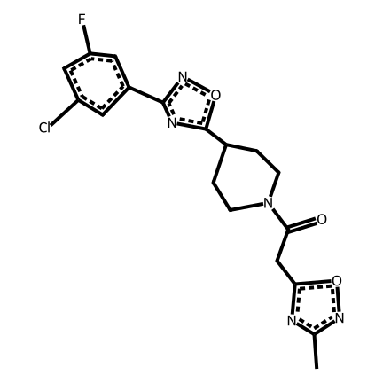 Cc1noc(CC(=O)N2CCC(c3nc(-c4cc(F)cc(Cl)c4)no3)CC2)n1